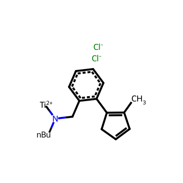 CCCC[N]([Ti+2])Cc1ccccc1C1=C(C)C=CC1.[Cl-].[Cl-]